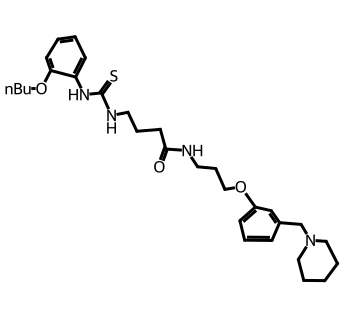 CCCCOc1ccccc1NC(=S)NCCCC(=O)NCCCOc1cccc(CN2CCCCC2)c1